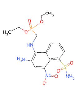 CCOP(=O)(CNc1c(N)cc([N+](=O)[O-])c2c(S(N)(=O)=O)cccc12)OCC